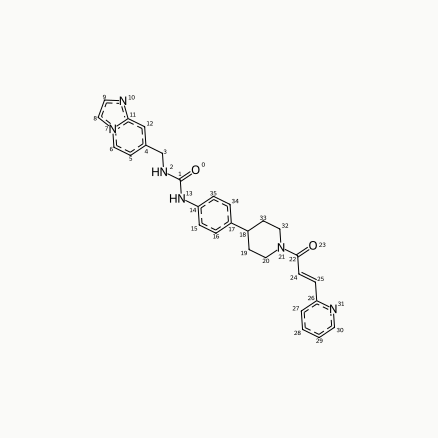 O=C(NCc1ccn2ccnc2c1)Nc1ccc(C2CCN(C(=O)/C=C/c3ccccn3)CC2)cc1